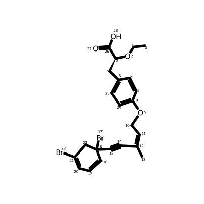 CCO[C@@H](Cc1ccc(OCC=C(C)C#CC2(Br)C=CC=C(Br)C2)cc1)C(=O)O